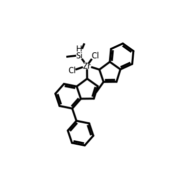 CC1=Cc2ccccc2[CH]1[Zr]([Cl])([Cl])([CH]1C=Cc2c(-c3ccccc3)cccc21)[SiH](C)C